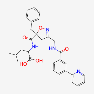 CC(C)CC(NC(=O)C1(Cc2ccccc2)CC(CNC(=O)c2cccc(-c3ccccn3)c2)=NO1)B(O)O